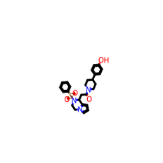 O=C(CC1c2cccn2CCN1S(=O)(=O)c1ccccc1)N1CCC(c2ccc(O)cc2)CC1